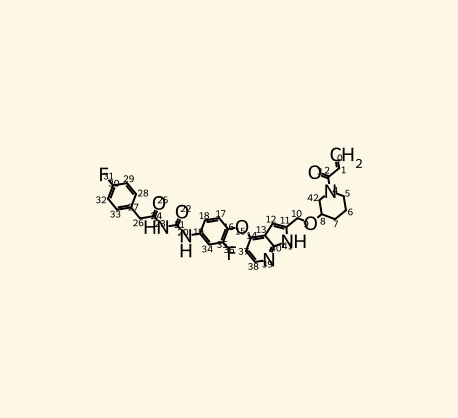 C=CC(=O)N1CCCC(OCc2cc3c(Oc4ccc(NC(=O)NC(=O)Cc5ccc(F)cc5)cc4F)ccnc3[nH]2)C1